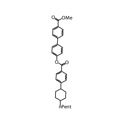 CCCCCC1CCC(c2ccc(C(=O)Oc3ccc(-c4ccc(C(=O)OC)cc4)cc3)cc2)CC1